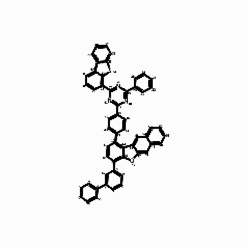 c1ccc(-c2cccc(-c3ccc(-c4ccc(-c5nc(-c6ccccc6)nc(-c6cccc7c6sc6ccccc67)n5)cc4)c4c3oc3cc5ccccc5cc34)c2)cc1